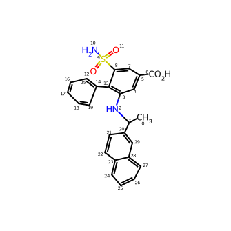 CC(Nc1cc(C(=O)O)cc(S(N)(=O)=O)c1-c1ccccc1)c1ccc2ccccc2c1